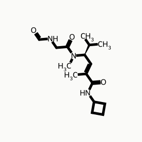 C/C(=C\[C@H](C(C)C)N(C)C(=O)CNC=O)C(=O)NC1CCC1